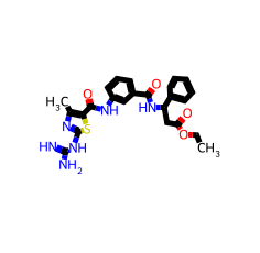 CCOC(=O)CC(NC(=O)c1cccc(NC(=O)c2sc(NC(=N)N)nc2C)c1)c1ccccc1